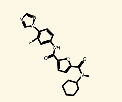 CN(C(=O)c1ccc(C(=O)Nc2ccc(-n3cncn3)c(F)c2)o1)C1CCCCC1